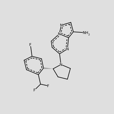 Nc1cnn2ccc(N3CCC[C@@H]3c3cc(F)ccc3C(F)F)nc12